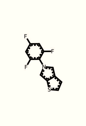 Fc1cc(F)c(-n2cc3ccsc3c2)c(F)c1